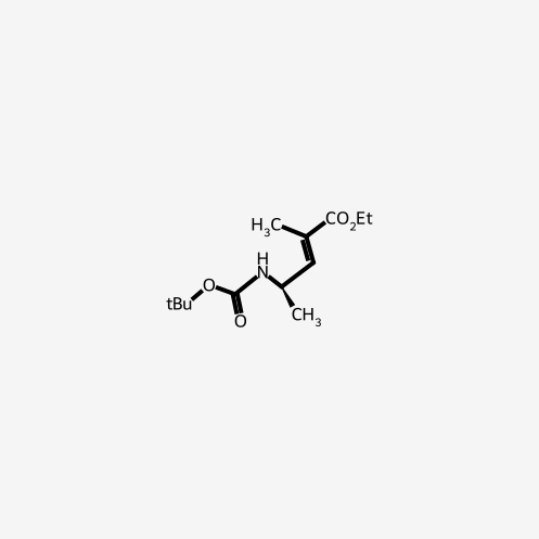 CCOC(=O)C(C)=C[C@@H](C)NC(=O)OC(C)(C)C